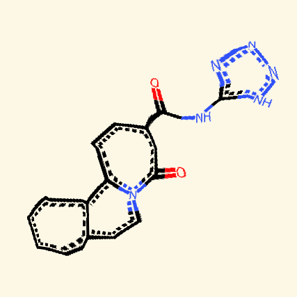 O=C(Nc1nnn[nH]1)c1ccc2c3ccccc3ccn2c1=O